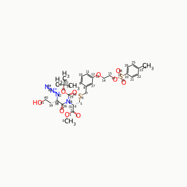 COC(=O)[C@@H](CSCc1cccc(OCCOS(=O)(=O)c2ccc(C)cc2)c1)N(C(=O)OC(C)(C)C)C(=O)[C@H](CCO)N=[N+]=[N-]